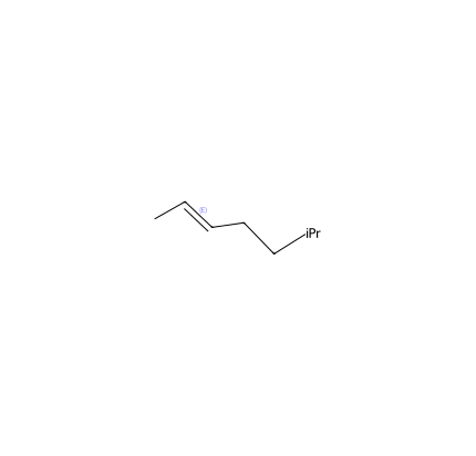 C/C=C/CCC(C)C